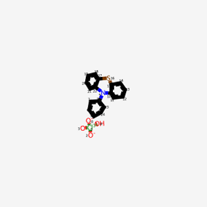 [O-][Cl+3]([O-])([O-])O.c1ccc(N2c3ccccc3Sc3ccccc32)cc1